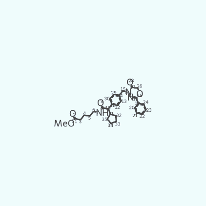 COC(=O)CCCCNC(=O)C(c1ccc(CN2N=C(c3ccccc3)OCC2=O)cc1)C1CCCC1